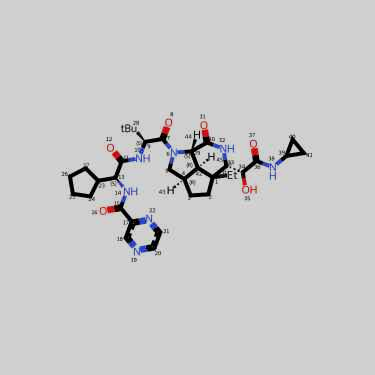 CCC12CC[C@H]3CN(C(=O)[C@@H](NC(=O)[C@@H](NC(=O)c4cnccn4)C4CCCC4)C(C)(C)C)[C@H](C(=O)N[C@@H]1C(O)C(=O)NC1CC1)[C@H]32